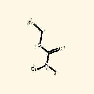 CCN(C)C(=O)OCC(C)C